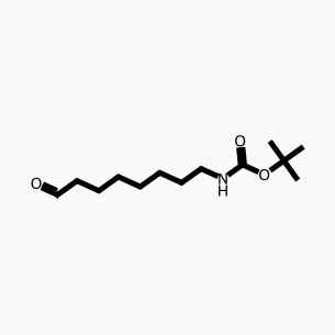 CC(C)(C)OC(=O)NCCCCCCC[C]=O